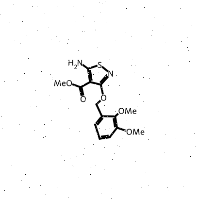 COC(=O)c1c(OCc2cccc(OC)c2OC)nsc1N